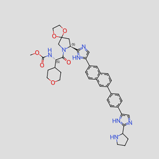 COC(=O)N[C@H](C(=O)N1CC2(C[C@H]1c1ncc(-c3ccc4cc(-c5ccc(-c6cnc(C7CCCN7)[nH]6)cc5)ccc4c3)[nH]1)OCCO2)C1CCOCC1